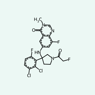 Cn1cnc2c(F)cc(NC3(c4c(F)ccc(Cl)c4Cl)CCN(C(=O)CF)C3)cc2c1=O